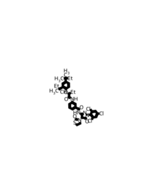 CCC(Oc1ccc(C(C)(C)CC)cc1C(C)(C)CC)C(=O)Nc1cccc(C(=O)NC2=NN(c3c(Cl)cc(Cl)cc3Cl)C(=O)C2N2CCSC2=O)c1